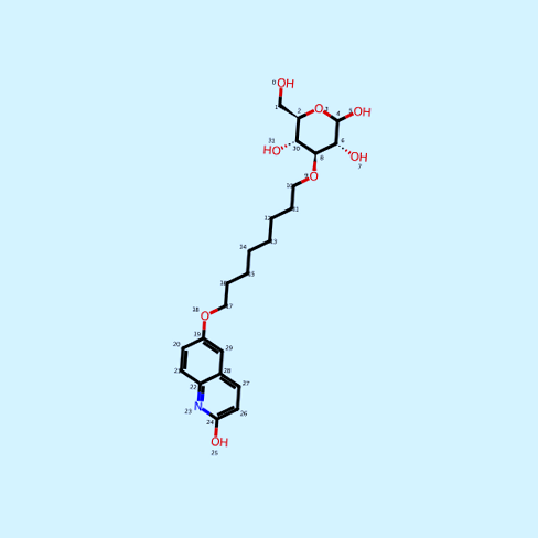 OC[C@H]1OC(O)[C@H](O)[C@@H](OCCCCCCCCOc2ccc3nc(O)ccc3c2)[C@@H]1O